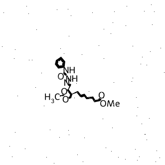 COC(=O)CCCC=CC[C@H]1CO[C@@H](C)O[C@H]1C=NNC(=O)Nc1ccccc1